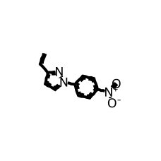 C=Cc1ccn(-c2ccc([N+](=O)[O-])cc2)n1